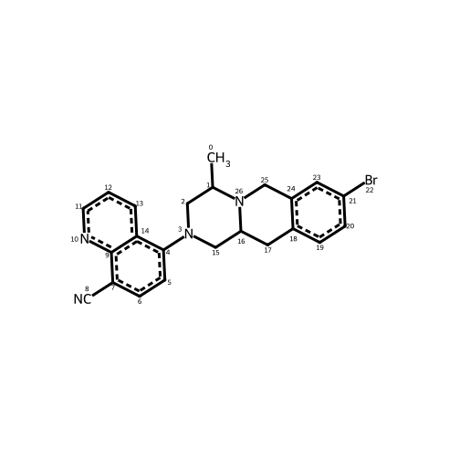 CC1CN(c2ccc(C#N)c3ncccc23)CC2Cc3ccc(Br)cc3CN12